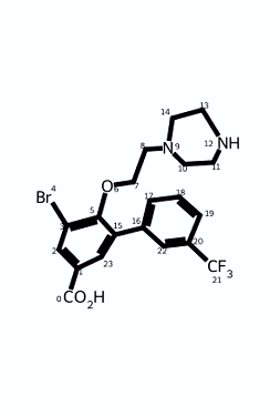 O=C(O)c1cc(Br)c(OCCN2CCNCC2)c(-c2cccc(C(F)(F)F)c2)c1